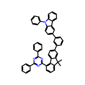 CC1(C)c2cc(-c3cccc(-c4ccc5c(c4)c4ccccc4n5-c4ccccc4)c3)ccc2-c2c(-c3nc(-c4ccccc4)nc(-c4ccccc4)n3)cccc21